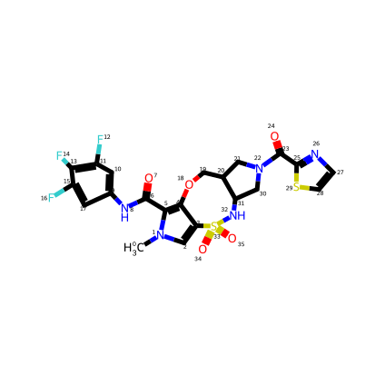 Cn1cc2c(c1C(=O)Nc1cc(F)c(F)c(F)c1)OCC1CN(C(=O)c3nccs3)CC1NS2(=O)=O